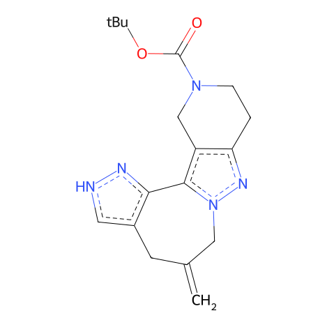 C=C1Cc2c[nH]nc2-c2c3c(nn2C1)CCN(C(=O)OC(C)(C)C)C3